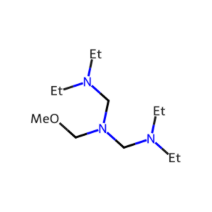 CCN(CC)CN(COC)CN(CC)CC